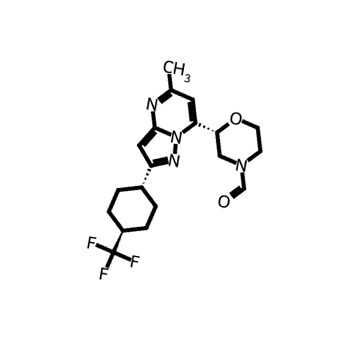 Cc1cc([C@H]2CN(C=O)CCO2)n2nc([C@H]3CC[C@H](C(F)(F)F)CC3)cc2n1